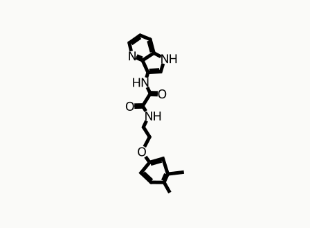 Cc1ccc(OCCNC(=O)C(=O)Nc2c[nH]c3cccnc23)cc1C